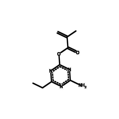 C=C(C)C(=O)Oc1nc(N)nc(CC)n1